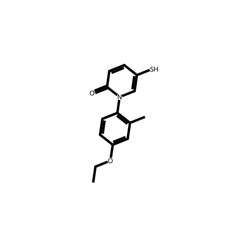 CCOc1ccc(-n2cc(S)ccc2=O)c(C)c1